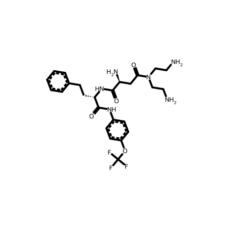 NCCN(CCN)C(=O)C[C@H](N)C(=O)N[C@@H](CCc1ccccc1)C(=O)Nc1ccc(OC(F)(F)F)cc1